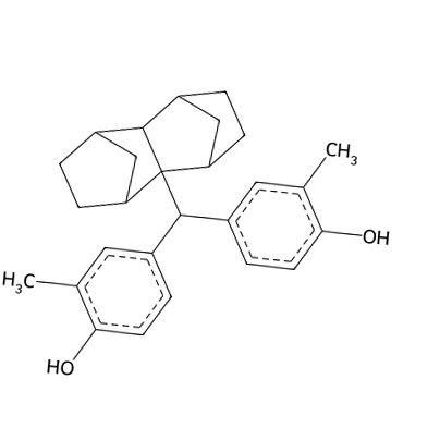 Cc1cc(C(c2ccc(O)c(C)c2)C23C4CCC(C4)C2C2CCC3C2)ccc1O